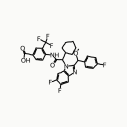 COC(c1ccc(F)cc1)c1nc2cc(F)c(F)cc2n1C(C(=O)Nc1ccc(C(=O)O)cc1C(F)(F)F)C1CCCCC1